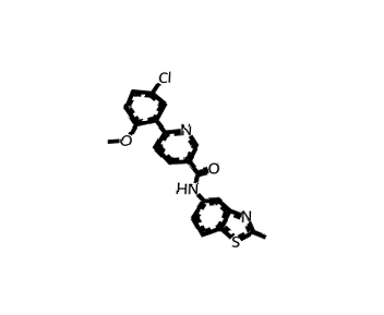 COc1ccc(Cl)cc1-c1ccc(C(=O)Nc2ccc3sc(C)nc3c2)cn1